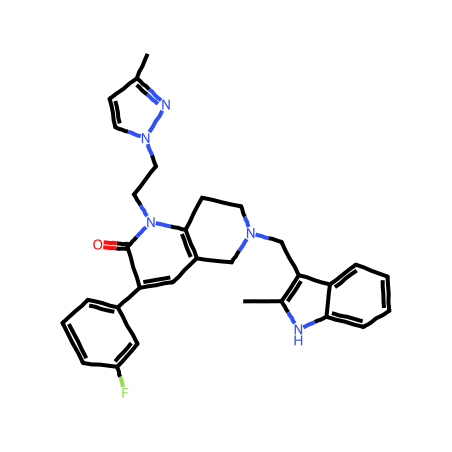 Cc1ccn(CCn2c3c(cc(-c4cccc(F)c4)c2=O)CN(Cc2c(C)[nH]c4ccccc24)CC3)n1